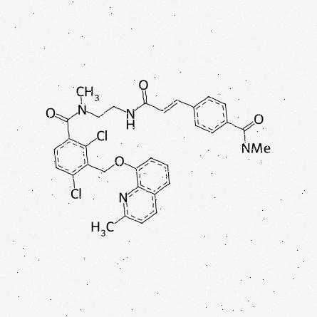 CNC(=O)c1ccc(C=CC(=O)NCCN(C)C(=O)c2ccc(Cl)c(COc3cccc4ccc(C)nc34)c2Cl)cc1